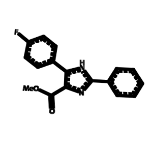 COC(=O)c1nc(-c2ccccc2)[nH]c1-c1ccc(F)cc1